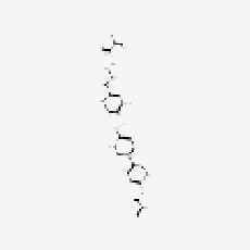 C=CC(=O)OC1=CC=C(C2=CC=C(COC3=CC=C(CCCOC(=O)C(=C)C)CC3)CC2)CC1